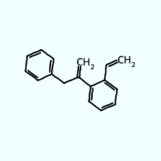 C=Cc1ccccc1C(=C)Cc1ccccc1